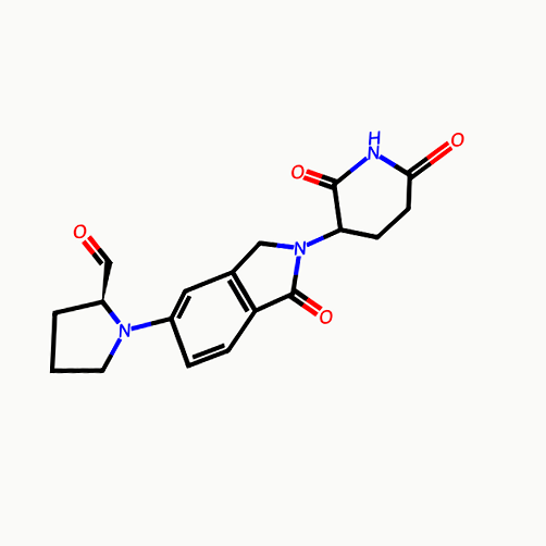 O=C[C@@H]1CCCN1c1ccc2c(c1)CN(C1CCC(=O)NC1=O)C2=O